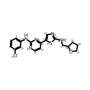 Clc1cccc(Nc2nccc(-c3cnc(NCC4CCCO4)s3)n2)c1